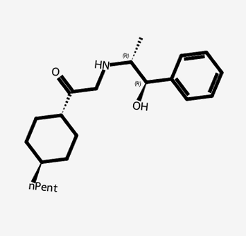 CCCCC[C@H]1CC[C@H](C(=O)CN[C@H](C)[C@H](O)c2ccccc2)CC1